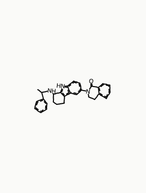 CC(NC1CCCc2c1[nH]c1ccc(N3CCc4ccccc4C3=O)cc21)c1ccccc1